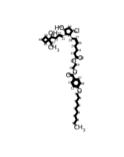 CCCCCCCCCCOc1ccc(C(=O)OCCOC(=O)CCC/C=C\C[C@@H]2[C@H](/C=C/C[C@H](O)C3(CC)CCC3)[C@H](O)C[C@@H]2Cl)cc1